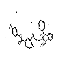 COc1ccc(OC(=O)c2cccc(NCC(=O)Nc3ccccc3Sc3ccccc3)c2)cc1